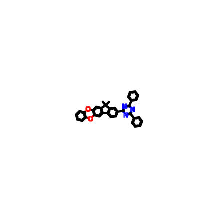 CC1(C)c2cc(-c3nc(-c4ccccc4)nc(-c4ccccc4)n3)ccc2-c2cc3c(cc21)Oc1ccccc1O3